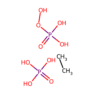 CC.O=P(O)(O)O.O=P(O)(O)OO